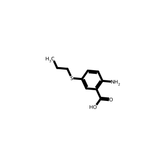 CCCSc1ccc(N)c(C(=O)O)c1